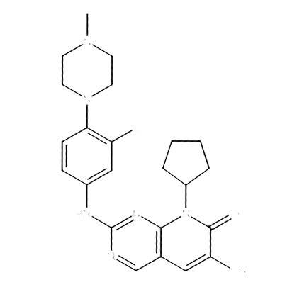 CN1CCN(c2ccc(Nc3ncc4cc(C#N)c(=O)n(C5CCCC5)c4n3)cc2Cl)CC1